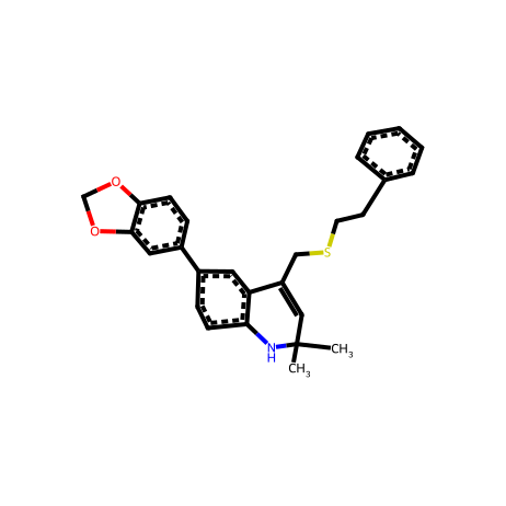 CC1(C)C=C(CSCCc2ccccc2)c2cc(-c3ccc4c(c3)OCO4)ccc2N1